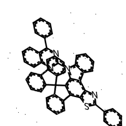 c1ccc(-c2nc3c(s2)c2c(c4c3c3ccccc3n4-c3nc(-c4ccccc4)c4ccccc4n3)C3(c4ccccc4-c4ccccc43)c3ccccc3-2)cc1